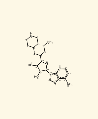 NCCC(SC1CCNCC1)C1OC(n2cnc3c(N)ncnc32)C(O)C1O